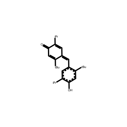 CC(C)C1=CC(=Cc2cc(C(C)C)c(O)cc2C(C)(C)C)C(C(C)(C)C)=CC1=O